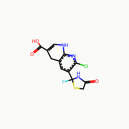 O=C1CSC(F)(c2cc3c(nc2Cl)NC=C(C(=O)O)C3)N1